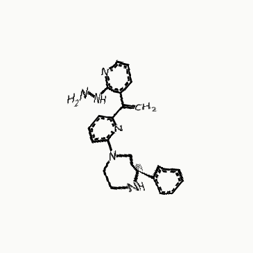 C=C(c1cccc(N2CCN[C@H](c3ccccc3)C2)n1)c1cccnc1NN